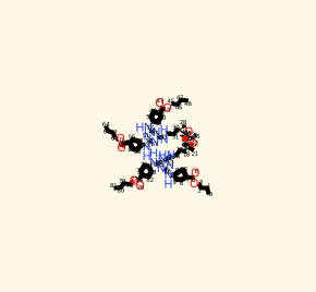 CCCCOC(=O)c1ccc(Nc2nc(NCCC[Si](C)(C)O[Si](C)(C)O[Si](C)(C)CCCNc3nc(Nc4ccc(C(=O)OCCCC)cc4)nc(Nc4ccc(C(=O)OCCCC)cc4)n3)nc(Nc3ccc(C(=O)OCCCC)cc3)n2)cc1